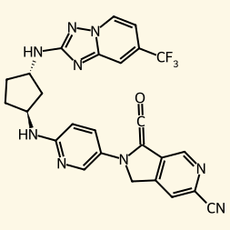 N#Cc1cc2c(cn1)C(=C=O)N(c1ccc(N[C@H]3CC[C@H](Nc4nc5cc(C(F)(F)F)ccn5n4)C3)nc1)C2